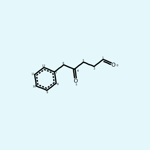 O=CCCC(=O)Cc1ccccc1